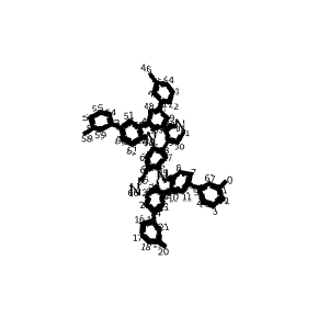 Cc1cccc(-c2ccc3c(c2)c2cc(-c4cccc(C)c4)ccc2n3-c2cc(-c3ccncc3)c(-n3c4ccc(-c5cccc(C)c5)cc4c4cc(-c5cccc(C)c5)ccc43)cc2C#N)c1